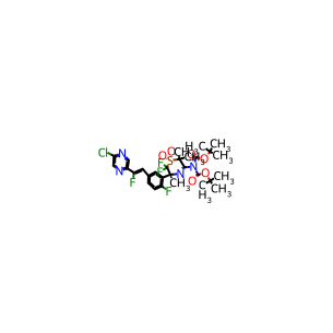 CC(C)(C)OC(=O)N(C(=O)OC(C)(C)C)C1=N[C@](C)(c2cc(/C=C(\F)c3cnc(Cl)cn3)ccc2F)C(F)(F)S(=O)(=O)C1(C)C